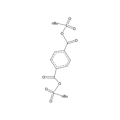 CCCCS(=O)(=O)OC(=O)c1ccc(C(=O)OS(=O)(=O)CCCC)cc1